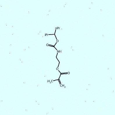 C=C(C)C(=O)OCCNC(=O)OC(CCC)C(C)C